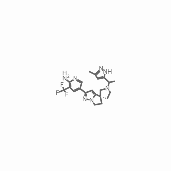 Cc1cc(C(C)N2CC[C@@]3(CCn4nc(-c5cnc(N)c(C(F)(F)F)c5)cc43)C2)[nH]n1